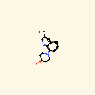 O=C1CCN(c2cccc3cc(C(F)(F)F)cnc23)CC1